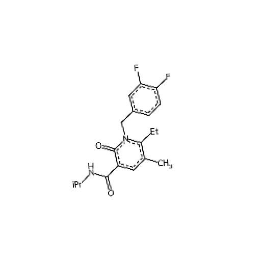 CCc1c(C)cc(C(=O)NC(C)C)c(=O)n1Cc1ccc(F)c(F)c1